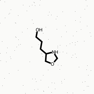 OCCCC1COCN1